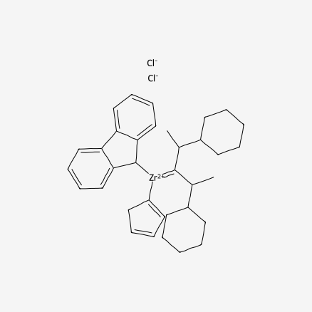 CC([C](C(C)C1CCCCC1)=[Zr+2]([C]1=CC=CC1)[CH]1c2ccccc2-c2ccccc21)C1CCCCC1.[Cl-].[Cl-]